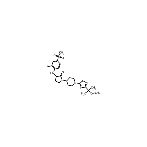 COC(C)(C)c1nsc(N2CCC(N3CCC(Nc4ccc(S(C)(=O)=O)cc4F)C3=O)CC2)n1